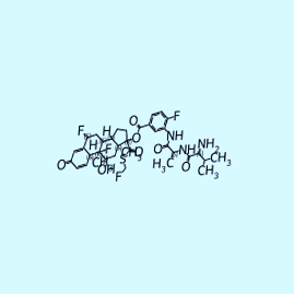 CC(C)[C@H](N)C(=O)N[C@@H](C)C(=O)Nc1cc(C(=O)O[C@]2(C(=O)SCF)CC[C@H]3[C@@H]4C[C@H](F)C5=CC(=O)C=C[C@]5(C)[C@@]4(F)[C@@H](O)C[C@@]32C)ccc1F